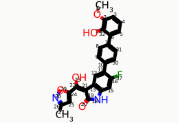 COc1cccc(-c2ccc(-c3cc4c(cc3F)NC(=O)C4=C(O)c3cc(C)no3)cc2)c1O